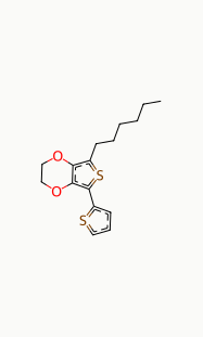 CCCCCCc1sc(-c2cccs2)c2c1OCCO2